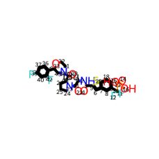 CC(C)(C)C(NC(=O)c1cc2cc(C(F)(F)P(=O)(O)O)ccc2s1)C(=O)N1CCC[C@H]1C(=O)N1CCOC(c2ccc(F)cc2F)C1